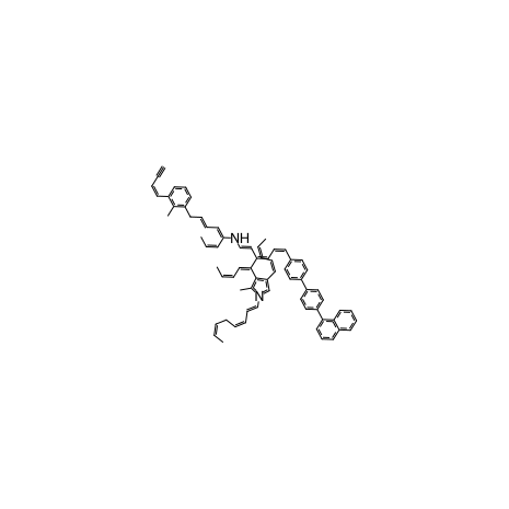 C#C/C=C\c1cccc(C/C=C/C=C(\C=C/C)N/C=C/C(=C\C=C/c2ccc(-c3ccc(-c4cccc5ccccc45)cc3)cc2)C(=C/C=C\C)/c2c(/C=C\C=C/C)cn(/C=C/C=C\C/C=C\C)c2C)c1C